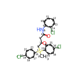 CS(CC(=O)CC(=O)Nc1ccccc1Cl)(c1ccc(Cl)cc1)c1ccc(Cl)cc1